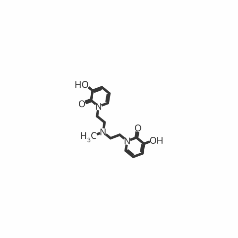 CN(CCn1cccc(O)c1=O)CCn1cccc(O)c1=O